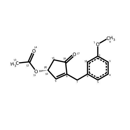 COc1cccc(CC2=C[C@H](OC(C)=O)CC2=O)c1